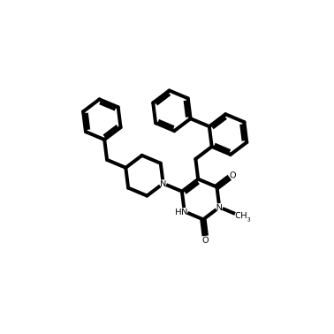 Cn1c(=O)[nH]c(N2CCC(Cc3ccccc3)CC2)c(Cc2ccccc2-c2ccccc2)c1=O